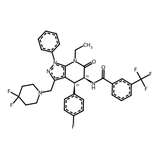 CCN1C(=O)[C@@H](NC(=O)c2cccc(C(F)(F)F)c2)[C@@H](c2ccc(F)cc2)c2c(CN3CCC(F)(F)CC3)nn(-c3ccccc3)c21